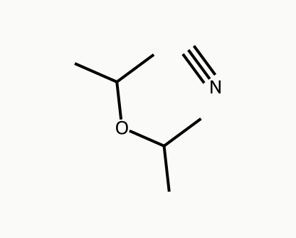 C#N.CC(C)OC(C)C